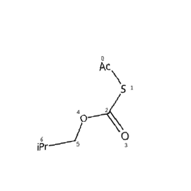 CC(=O)SC(=O)OCC(C)C